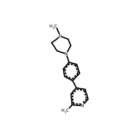 Cc1cc(-c2ccc(N3CCN(C)CC3)cc2)ccn1